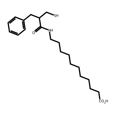 O=C(O)CCCCCCCCCCNC(=O)C(CS)Cc1ccccc1